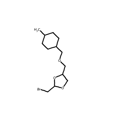 CC1CCC(COCC2COC(CBr)O2)CC1